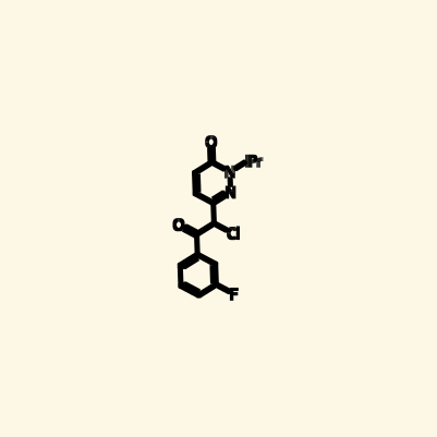 CC(C)n1nc(C(Cl)C(=O)c2cccc(F)c2)ccc1=O